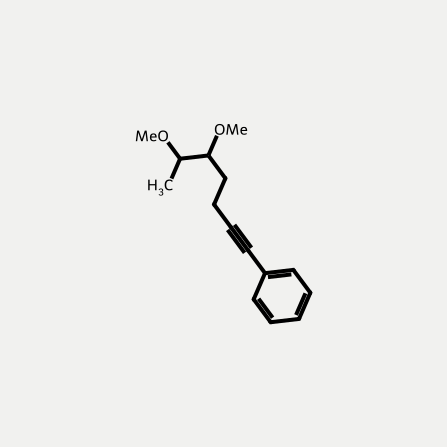 COC(C)C(CCC#Cc1ccccc1)OC